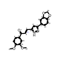 COc1ccc(C(=O)/C=C/c2cc(-c3ccc4c(c3)OCO4)n[nH]2)cc1OC